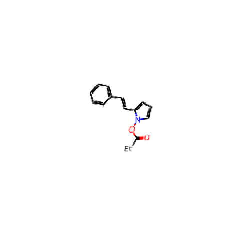 CCC(=O)On1cccc1C=Cc1ccccc1